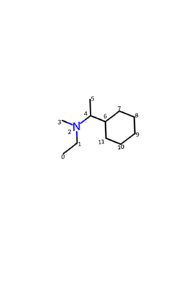 CCN(C)C(C)C1CCCCC1